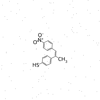 CC(=Cc1ccc([N+](=O)[O-])cc1)c1ccc(S)cc1